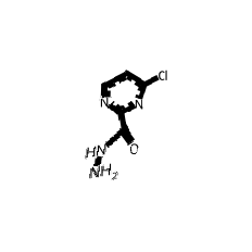 NNC(=O)c1nccc(Cl)n1